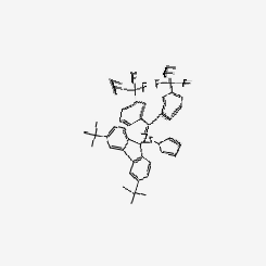 CC(C)(C)c1ccc2c(c1)-c1cc(C(C)(C)C)ccc1[CH]2[Zr](=[C](c1cccc(C(F)(F)F)c1)c1cccc(C(F)(F)F)c1)[CH]1C=CC=C1